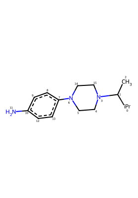 CC(C)C(C)N1CCN(c2ccc(N)cc2)CC1